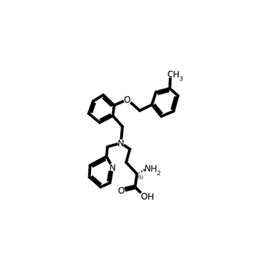 Cc1cccc(COc2ccccc2CN(CC[C@H](N)C(=O)O)Cc2ccccn2)c1